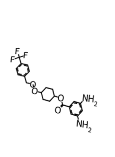 Nc1cc(N)cc(C(=O)OC2CCC(OOCc3ccc(C(F)(F)F)cc3)CC2)c1